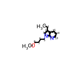 CCc1cn(CCCCOC)c2ncccc12